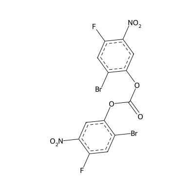 O=C(Oc1cc([N+](=O)[O-])c(F)cc1Br)Oc1cc([N+](=O)[O-])c(F)cc1Br